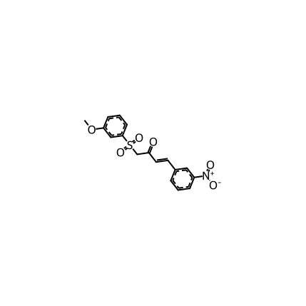 COc1cccc(S(=O)(=O)CC(=O)C=Cc2cccc([N+](=O)[O-])c2)c1